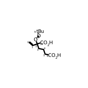 C=CC(CCCC(=O)O)(OOC(C)(C)C)C(=O)O